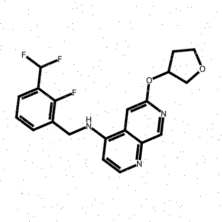 Fc1c(CNc2ccnc3cnc(OC4CCOC4)cc23)cccc1C(F)F